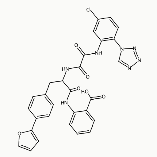 O=C(Nc1cc(Cl)ccc1-n1cnnn1)C(=O)NC(Cc1ccc(-c2ccco2)cc1)C(=O)Nc1ccccc1C(=O)O